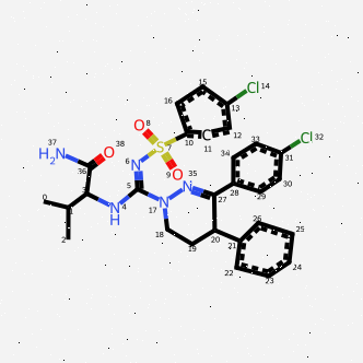 CC(C)C(N/C(=N/S(=O)(=O)c1ccc(Cl)cc1)N1CCC(c2ccccc2)C(c2ccc(Cl)cc2)=N1)C(N)=O